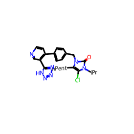 CCCCCc1c(Cl)n(C(C)C)c(=O)n1Cc1ccc(-c2ccncc2-c2nnn[nH]2)cc1